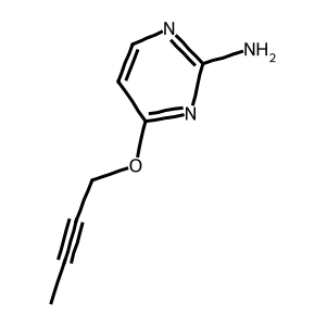 CC#CCOc1ccnc(N)n1